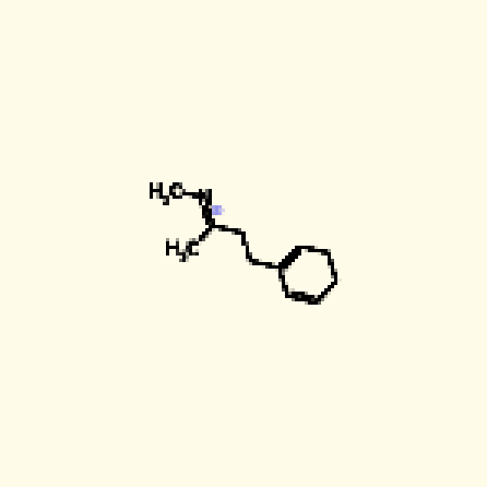 C/N=C(\C)CCC1=CCCC=C1